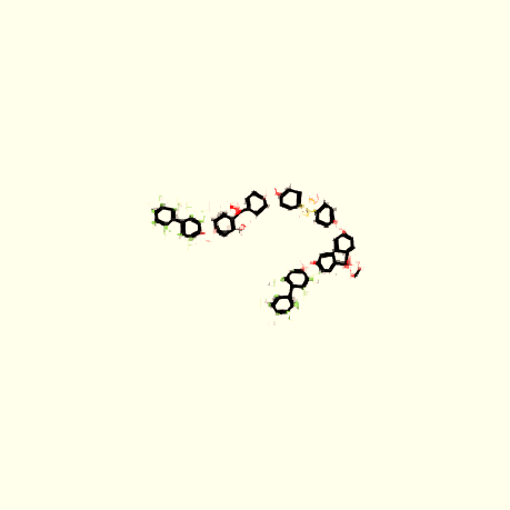 COC(OC)(c1ccc(Oc2ccc(S(=O)(=O)c3ccc(Oc4ccc(C5(c6ccc(Oc7c(F)c(F)c(-c8c(F)c(F)c(F)c(F)c8F)c(F)c7F)cc6)OCCO5)cc4)cc3)cc2)cc1)c1ccc(Oc2c(F)c(F)c(-c3c(F)c(F)c(F)c(F)c3F)c(F)c2F)cc1